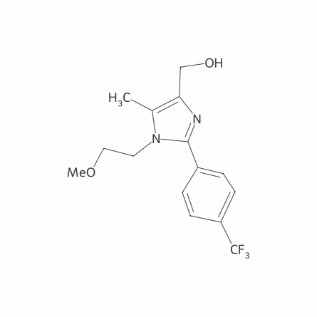 COCCn1c(-c2ccc(C(F)(F)F)cc2)nc(CO)c1C